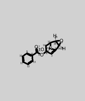 CCOC(=O)N1C2=CC(OC(=O)c3ccccc3)CC1[C@H]1O[C@@H]21